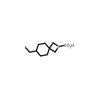 O=C(O)N1CC2(CCC(CI)CC2)C1